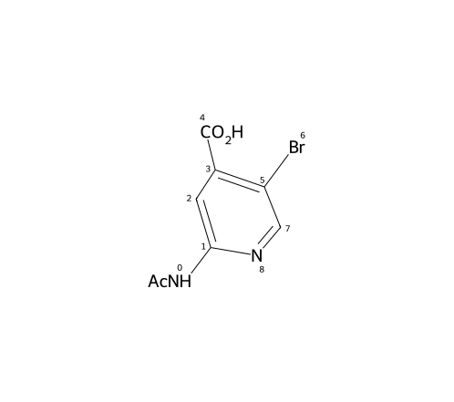 CC(=O)Nc1cc(C(=O)O)c(Br)cn1